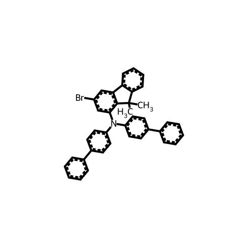 CC1(C)c2ccccc2-c2cc(Br)cc(N(c3ccc(-c4ccccc4)cc3)c3ccc(-c4ccccc4)cc3)c21